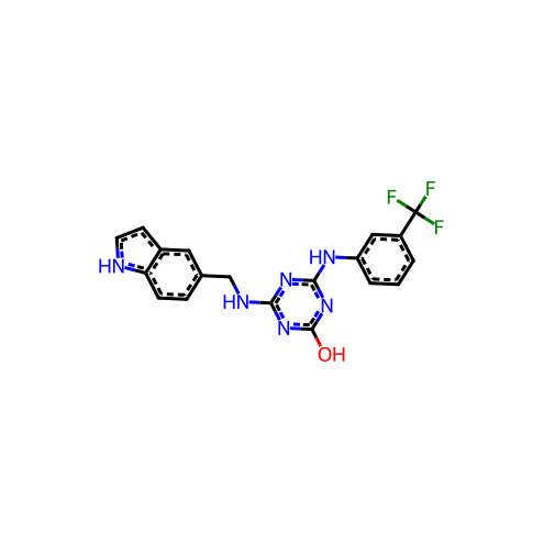 Oc1nc(NCc2ccc3[nH]ccc3c2)nc(Nc2cccc(C(F)(F)F)c2)n1